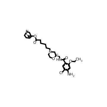 CCOc1cc(N)c(Cl)cc1C(=O)NC[C@@H]1CN(CCCCCC(=O)OC2CN3CCC2CC3)CCO1